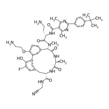 Cc1nc(-c2ccc(C(C)(C)C)cc2)nc(C)c1C(=O)N[C@@H](CCN)C(=O)N(C)[C@@H]1C(=O)N[C@@H](C)C(=O)N[C@H](C(=O)NCC#N)Cc2cc(F)c(O)c(c2)-c2cc1ccc2OCCN